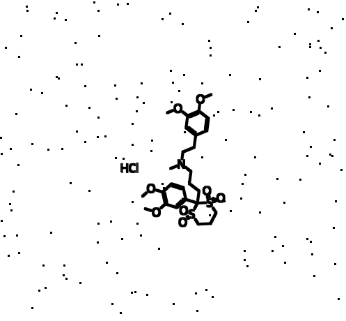 COc1ccc(CCN(C)CCCC2(c3ccc(OC)c(OC)c3)S(=O)(=O)CCCS2(=O)=O)cc1OC.Cl